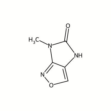 Cn1c(=O)[nH]c2conc21